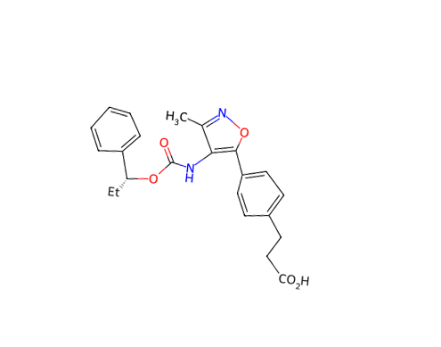 CC[C@@H](OC(=O)Nc1c(C)noc1-c1ccc(CCC(=O)O)cc1)c1ccccc1